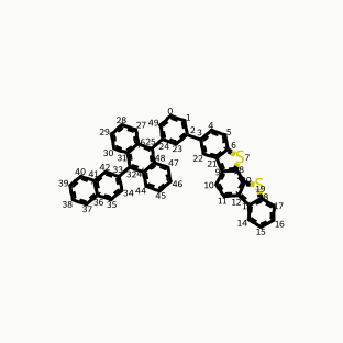 c1cc(-c2ccc3sc4c(ccc5c6ccccc6sc54)c3c2)cc(-c2c3ccccc3c(-c3ccc4ccccc4c3)c3ccccc23)c1